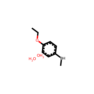 CBc1ccc(OCC)cc1.O.O